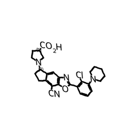 N#Cc1c2c(cc3nc(-c4cccc(N5CCCCC5)c4Cl)oc13)[C@H](N1CC[C@@H](C(=O)O)C1)CC2